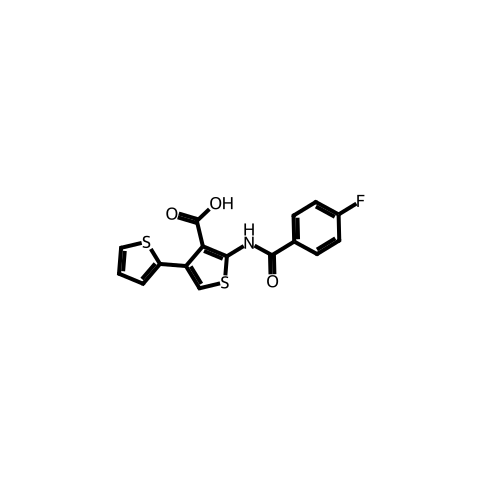 O=C(Nc1scc(-c2cccs2)c1C(=O)O)c1ccc(F)cc1